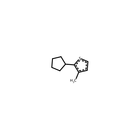 Cc1ccsc1C1CCCC1